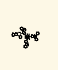 c1ccc(-n2c3ccccc3c3cc(-c4nc(-c5cc(C6CCc7cc8ccccc8cc7-c7ccccc76)c6c(c5)oc5ccccc56)nc(-c5ccc6c(c5)sc5ccccc56)n4)ccc32)cc1